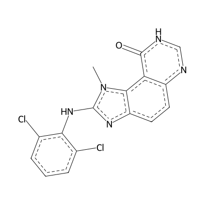 Cn1c(Nc2c(Cl)cccc2Cl)nc2ccc3nc[nH]c(=O)c3c21